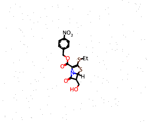 CCSC1=C(C(=O)OCc2ccc([N+](=O)[O-])cc2)N2C(=O)C(CO)[C@H]2S1